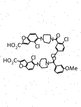 COc1cccc(C(=O)N2CCN(c3ccc4oc(C(=O)O)cc4c3Cl)CC2)c1.O=C(O)c1cc2c(Cl)c(N3CCN(C(=O)c4cc(Cl)ccc4Cl)CC3)ccc2o1